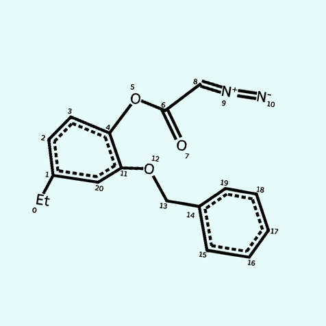 CCc1ccc(OC(=O)C=[N+]=[N-])c(OCc2ccccc2)c1